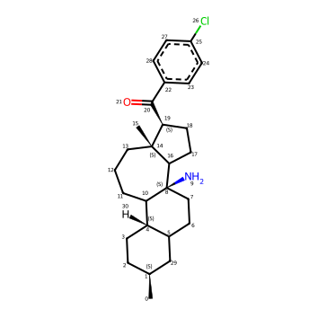 C[C@H]1CC[C@H]2C(CC[C@]3(N)C2CCC[C@@]2(C)C3CC[C@@H]2C(=O)c2ccc(Cl)cc2)C1